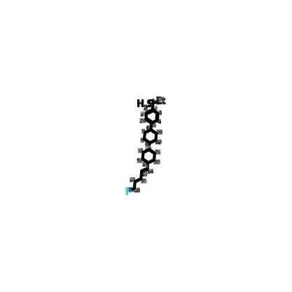 CC[SiH2]c1ccc(C2CCC([C@H]3CC[C@H](/C=C/CCCF)CC3)CC2)cc1